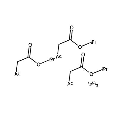 CC(=O)CC(=O)OC(C)C.CC(=O)CC(=O)OC(C)C.CC(=O)CC(=O)OC(C)C.[InH3]